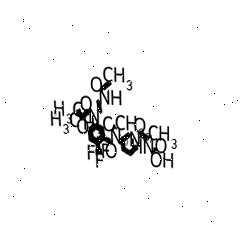 CCC(=O)NCCN1C(=O)C(C)(C)Oc2cc(C(F)(F)F)c(C(=O)N(C(C)C)[C@@H]3CCCN(C(=O)[C@H](C)NC(=O)O)C3)cc21